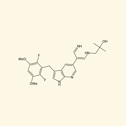 COc1cc(OC)c(F)c(Cc2c[nH]c3ncc(/C(C=N)=C/NCC(C)(C)O)cc23)c1F